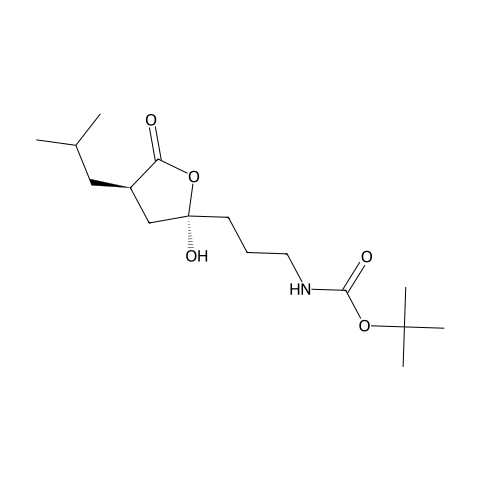 CC(C)C[C@@H]1C[C@](O)(CCCNC(=O)OC(C)(C)C)OC1=O